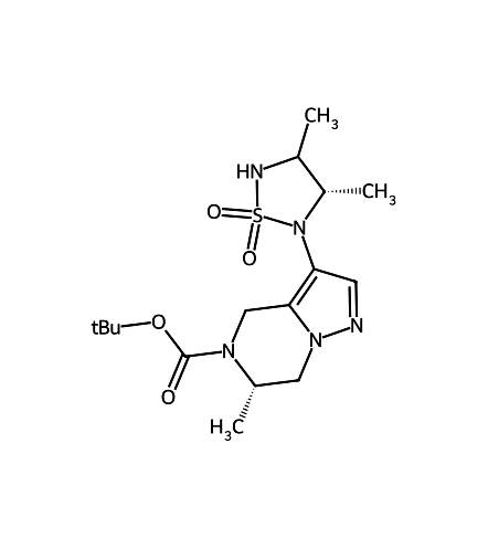 CC1NS(=O)(=O)N(c2cnn3c2CN(C(=O)OC(C)(C)C)[C@@H](C)C3)[C@H]1C